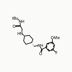 COc1cc(F)cc(C(=O)NC[C@H]2CC[C@H](NCC(=O)NC(C)(C)C)CC2)c1